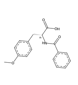 COc1ccc(C[C@@H](NC(=O)c2ccccc2)C(=O)O)cc1